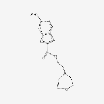 COc1ccc2cc(C(=O)OCCN3CCOCC3)sc2c1